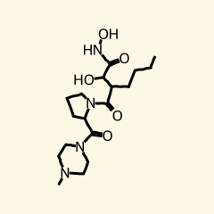 CCCCC(C(=O)N1CCCC1C(=O)N1CCN(C)CC1)C(O)C(=O)NO